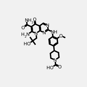 COc1cc(C2CCN(C(=O)O)CC2)ccc1Nc1ncc2c(=O)c(C(N)=O)c(N)n(CC(C)(C)O)c2n1